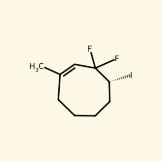 C/C1=C/C(F)(F)[C@H](I)CCCC1